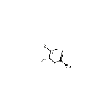 C[C@@H](CC(N)=O)[S@+](C)[O-]